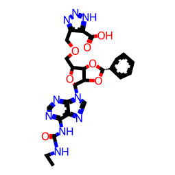 CCNC(=O)Nc1ncnc2c1ncn2C1OC(COCc2nn[nH]c2C(=O)O)C2O[C@H](c3ccccc3)OC21